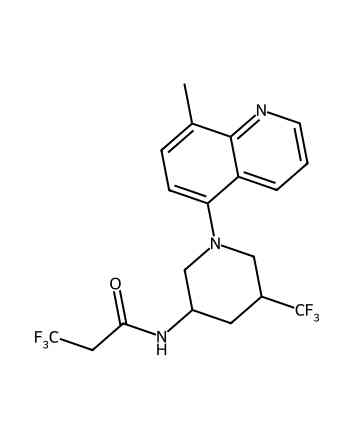 Cc1ccc(N2CC(NC(=O)CC(F)(F)F)CC(C(F)(F)F)C2)c2cccnc12